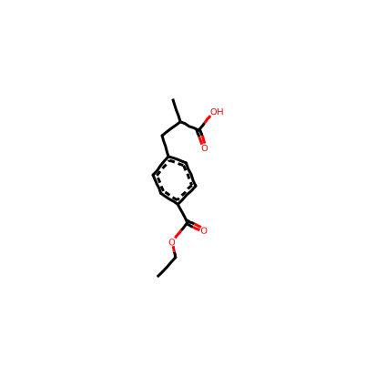 CCOC(=O)c1ccc(CC(C)C(=O)O)cc1